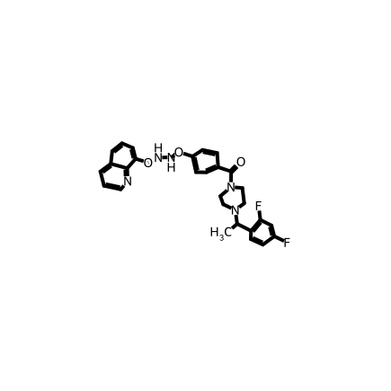 CC(c1ccc(F)cc1F)N1CCN(C(=O)c2ccc(ONNOc3cccc4cccnc34)cc2)CC1